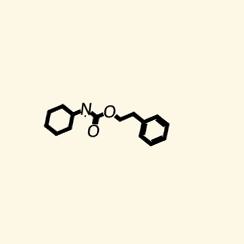 O=C([N]C1CCCCC1)OCCc1ccccc1